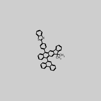 CC1(C)c2ccccc2-c2cc3c(-c4ccc(-c5nc6ccccc6s5)cc4)c4ccccc4c(-c4cc5ccccc5c5ccccc45)c3cc21